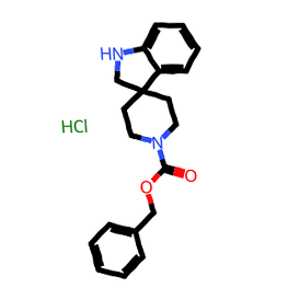 Cl.O=C(OCc1ccccc1)N1CCC2(CC1)CNc1ccccc12